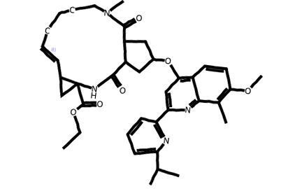 CCOC(=O)C12CC1/C=C/CCCCN(C)C(=O)C1CC(Oc3cc(-c4cccc(C(C)C)n4)nc4c(C)c(OC)ccc34)CC1C(=O)N2